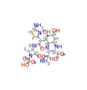 CC1C(NC(=O)C(c2csc(N)n2)=c2c(O)c(O)cc3c2=NC(CON)=C(C(=O)O)N3)C(=O)N1S(=O)(=O)O